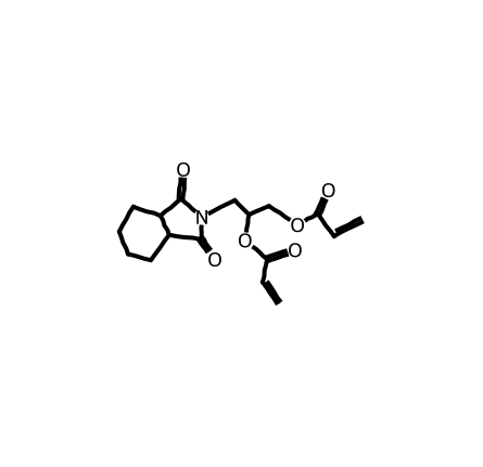 C=CC(=O)OCC(CN1C(=O)C2CCCCC2C1=O)OC(=O)C=C